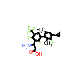 Cc1cc(C2CC2)c(F)c(C)c1-c1cc(C(F)(F)F)c(F)c(C(N)CC(=O)O)c1F